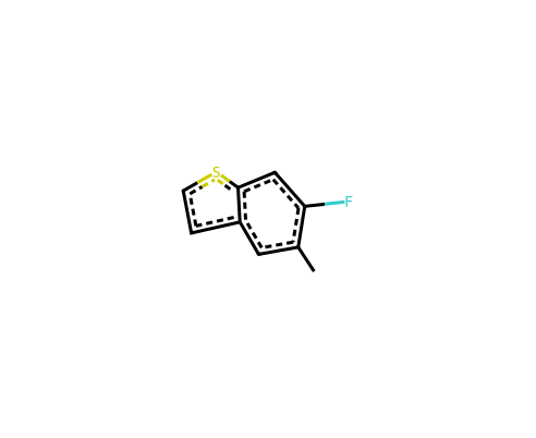 Cc1cc2ccsc2cc1F